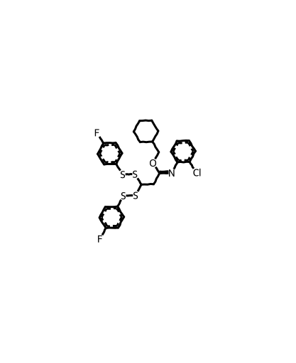 Fc1ccc(SSC(C/C(=N/c2ccccc2Cl)OCC2CCCCC2)SSc2ccc(F)cc2)cc1